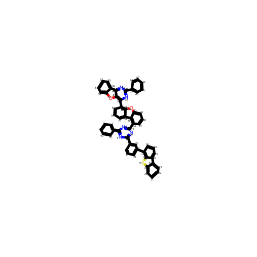 c1ccc(-c2nc(-c3cccc(-c4cccc5c4sc4ccccc45)c3)nc(-c3cccc4oc5c(-c6nc(-c7ccccc7)nc7c6oc6ccccc67)cccc5c34)n2)cc1